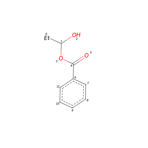 CCC(O)OC(=O)c1ccccc1